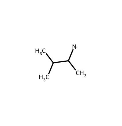 CC(C)C(C)[N]